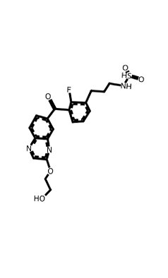 O=C(c1ccc2ncc(OCCO)nc2c1)c1cccc(CCCN[SH](=O)=O)c1F